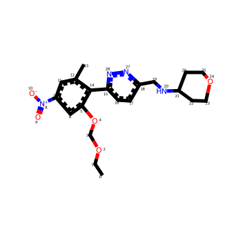 CCOCOc1cc([N+](=O)[O-])cc(C)c1-c1ccc(CNC2CCOCC2)nn1